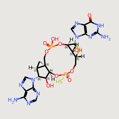 Nc1nc2c(ncn2[C@@H]2S[C@@H]3CO[P@](=O)(S)O[C@H]4[C@@H](O)[C@H](n5cnc6c(N)ncnc65)[C@H]5C[C@@]54COP(=O)(O)O[C@@H]2[C@@H]3O)c(=O)[nH]1